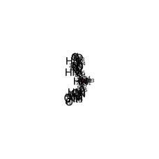 COC(=O)N[C@H](C(=O)N1CCC[C@H]1c1nc2ccc(-c3ccc(-c4ccc5nc([C@@H]6CCCN6C(=O)[C@@H](NC(=O)OC)C(C)C)[nH]c5c4)c4c3C3CC(C)CC4N3)cc2[nH]1)C(C)C